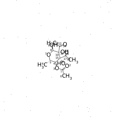 CC(=O)O[C@H]1[C@H](C)O[C@@H](O)[C@@](O)(C(C)=O)[C@@]1(O)C(C)=O